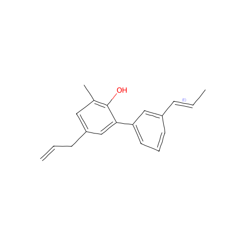 C=CCc1cc(C)c(O)c(-c2cccc(/C=C/C)c2)c1